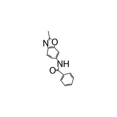 Cc1nc2ccc(NC(=O)c3ccccc3)cc2o1